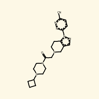 N#Cc1ccc(-n2ncc3c2CCN(CC(=O)N2CCN(C4CCC4)CC2)C3)nn1